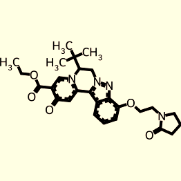 CCOC(=O)c1cn2c(cc1=O)-c1c3cccc(OCCN4CCCC4=O)c3nn1CC2C(C)(C)C